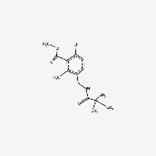 COC(=O)c1c(Cl)ccc(CNC(=O)C(C)(C)C)c1C